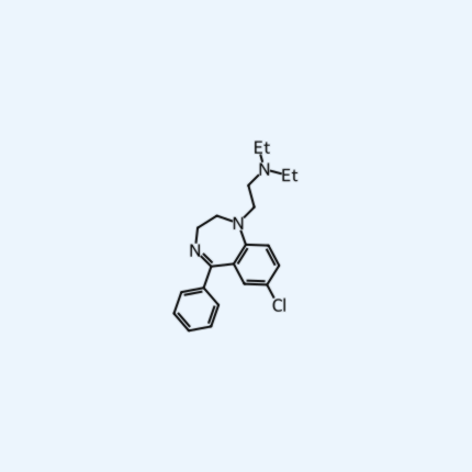 CCN(CC)CCN1CCN=C(c2ccccc2)c2cc(Cl)ccc21